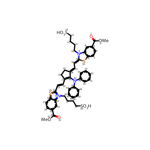 COC(=O)c1ccc2c(c1)N(CCCCS(=O)(=O)O)/C(=C/C=C1\CCC(/C=C/c3sc4ccc(C(=O)OC)cc4[n+]3CCCCS(=O)(=O)O)=C1N(c1ccccc1)c1ccccc1)S2